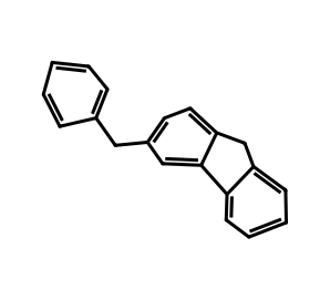 c1ccc(Cc2ccc3c(c2)-c2ccccc2C3)cc1